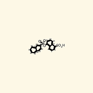 O=S(=O)(O)c1cccc2c(OS(=O)(=O)c3ccc4ccccc4c3)cccc12